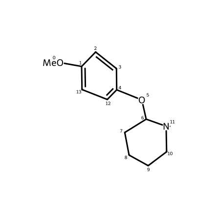 COc1ccc(OC2CCCC[N]2)cc1